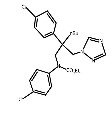 CCCCC(CN(C(=O)OCC)c1ccc(Cl)cc1)(Cn1cncn1)c1ccc(Cl)cc1